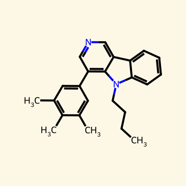 CCCCn1c2ccccc2c2cncc(-c3cc(C)c(C)c(C)c3)c21